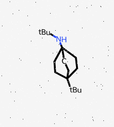 CC(C)(C)NC12CCC(C(C)(C)C)(CC1)CC2